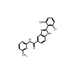 Cc1ccnc(NC(=O)c2ccc3[nH]c(-c4c(Cl)cccc4Cl)nc3c2)n1